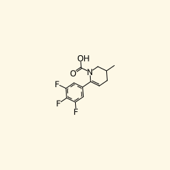 CC1CC=C(c2cc(F)c(F)c(F)c2)N(C(=O)O)C1